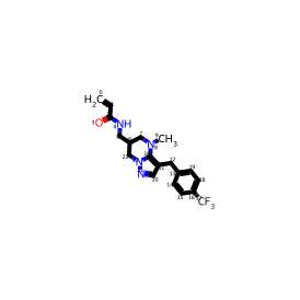 C=CC(=O)NCC1CN(C)c2c(Cc3ccc(C(F)(F)F)cc3)cnn2C1